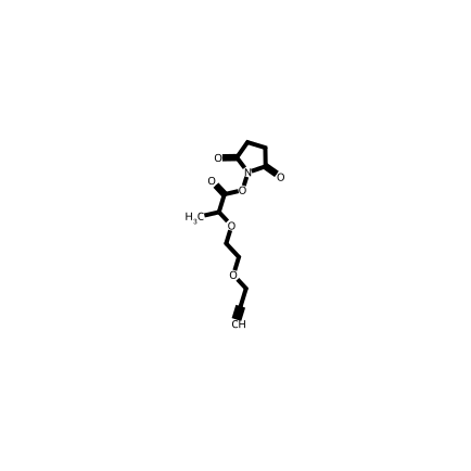 C#CCOCCOC(C)C(=O)ON1C(=O)CCC1=O